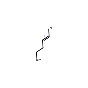 CCCCC/C=C/C#N